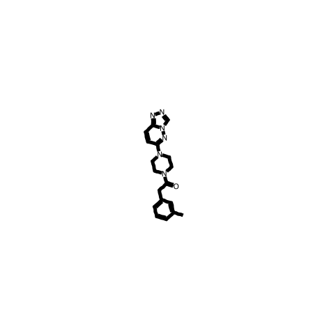 Cc1cccc(CC(=O)N2CCN(c3ccc4nncn4n3)CC2)c1